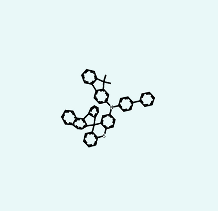 CC1(C)c2ccccc2-c2ccc(N(c3ccc(-c4ccccc4)cc3)c3ccc4c(c3)C3(c5ccccc5S4)c4ccccc4-c4c3ccc3ccccc43)cc21